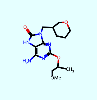 COCC(C)Oc1nc(N)c2[nH]c(=O)n(CC3CCCOC3)c2n1